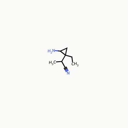 CCC1(C(C)C#N)CC1N